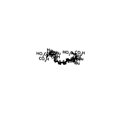 CCC(C)[C@H](NC(=O)c1ccc(-c2ccc(-c3ccc(-c4ccc(C(=O)N[C@H](C(=O)N[C@H](C(=O)N[C@@H](CCC(=O)O)C(=O)O)C(C)CC)C(C)CC)s4)s3)s2)s1)C(=O)N[C@H](C(=O)N[C@@H](CCC(=O)O)C(=O)O)C(C)CC